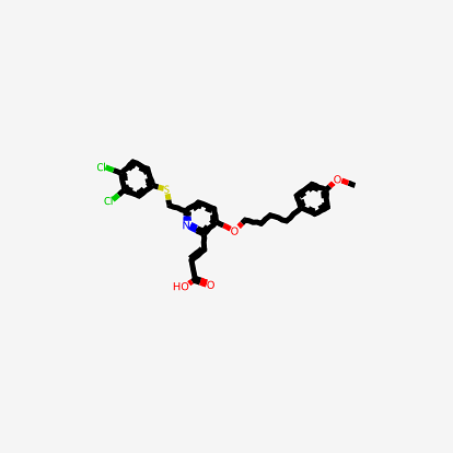 COc1ccc(CCCCOc2ccc(CSc3ccc(Cl)c(Cl)c3)nc2/C=C/C(=O)O)cc1